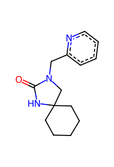 O=C1NC2(CCCCC2)CN1Cc1ccccn1